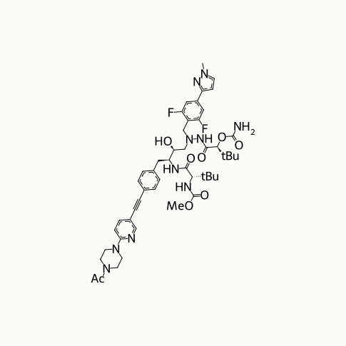 COC(=O)N[C@H](C(=O)N[C@@H](Cc1ccc(C#Cc2ccc(N3CCN(C(C)=O)CC3)nc2)cc1)[C@@H](O)CN(Cc1c(F)cc(-c2ccn(C)n2)cc1F)NC(=O)[C@@H](OC(N)=O)C(C)(C)C)C(C)(C)C